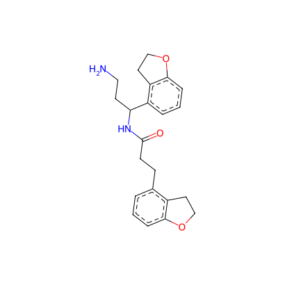 NCCC(NC(=O)CCc1cccc2c1CCO2)c1cccc2c1CCO2